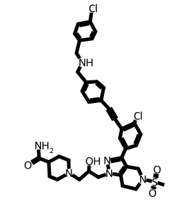 CS(=O)(=O)N1CCc2c(c(-c3ccc(Cl)c(C#Cc4ccc(CNCc5ccc(Cl)cc5)cc4)c3)nn2CC(O)CN2CCC(C(N)=O)CC2)C1